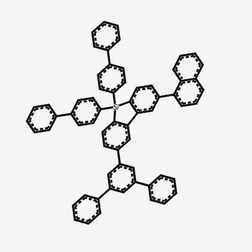 c1ccc(-c2ccc([Si]3(c4ccc(-c5ccccc5)cc4)c4ccc(-c5cc(-c6ccccc6)cc(-c6ccccc6)c5)cc4-c4cc(-c5cccc6ccccc56)ccc43)cc2)cc1